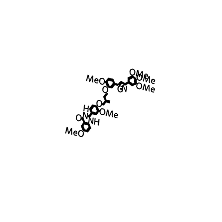 C=C(CCOc1cc(-c2cc(-c3cc(OC)c(OC)c(OC)c3)no2)ccc1OC)COc1ccc(C2NC(=O)c3cc(OC)ccc3N2)cc1OC